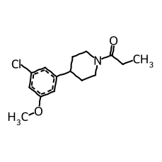 CCC(=O)N1CCC(c2cc(Cl)cc(OC)c2)CC1